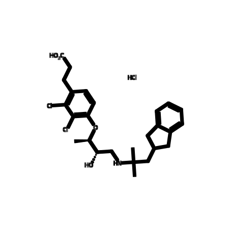 C[C@@H](Oc1ccc(CCC(=O)O)c(Cl)c1Cl)[C@@H](O)CNC(C)(C)CC1Cc2ccccc2C1.Cl